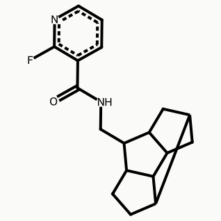 O=C(NCC1C2CC3CC2C2C3CCC12)c1cccnc1F